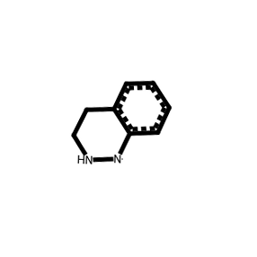 c1ccc2c(c1)CCN[N]2